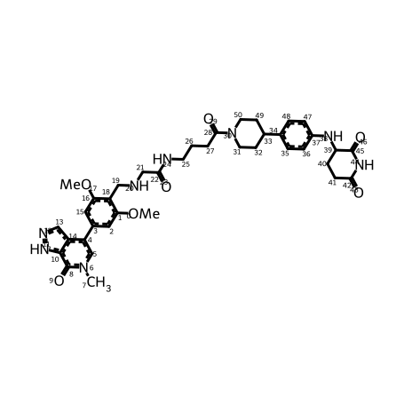 COc1cc(-c2cn(C)c(=O)c3[nH]ncc23)cc(OC)c1CNCC(=O)NCCCC(=O)N1CCC(c2ccc(NC3CCC(=O)NC3=O)cc2)CC1